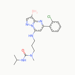 Bc1cnn2c(NCCCN(C)C(=O)NC(C)C)cc(-c3ccccc3Cl)nc12